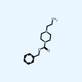 [CH2]CCN1CCN(C(=O)OCc2ccccc2)CC1